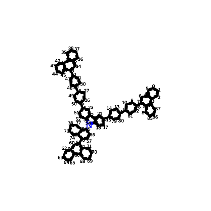 c1ccc2c(c1)cc(-c1ccc(-c3ccc(-c4ccc5c(c4)c4cc(-c6ccc(-c7ccc(-c8cc9ccccc9c9ccccc89)cc7)cc6)ccc4n5-c4ccc(-c5cc6ccccc6c6ccccc56)c5ccccc45)cc3)cc1)c1ccccc12